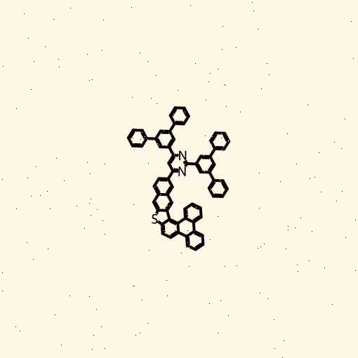 c1ccc(-c2cc(-c3ccccc3)cc(-c3cc(-c4ccc5cc6sc7ccc8c9ccccc9c9ccccc9c8c7c6cc5c4)nc(-c4cc(-c5ccccc5)cc(-c5ccccc5)c4)n3)c2)cc1